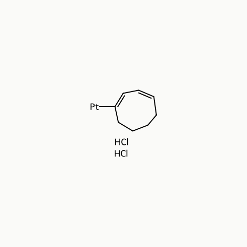 Cl.Cl.[Pt][C]1=CC=CCCCC1